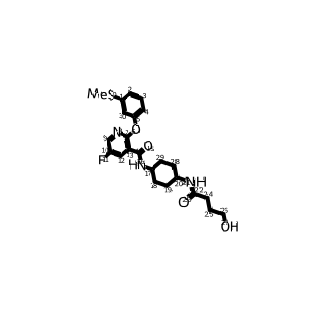 CSc1cccc(Oc2ncc(F)cc2C(=O)NC2CCC(NC(=O)CCCO)CC2)c1